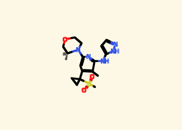 Cc1c(C2(S(C)(=O)=O)CC2)cc(N2CCOC[C@H]2C)nc1Nc1ccn[nH]1